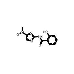 C[S+]([O-])c1cnc(NC(=O)c2ccccc2O)s1